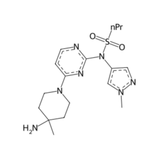 CCCS(=O)(=O)N(c1cnn(C)c1)c1nccc(N2CCC(C)(N)CC2)n1